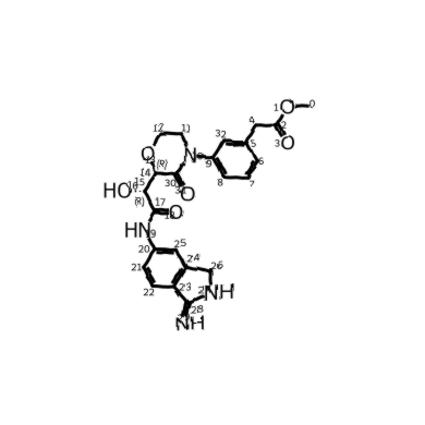 COC(=O)Cc1cccc(N2CCO[C@H]([C@@H](O)C(=O)Nc3ccc4c(c3)CNC4=N)C2=O)c1